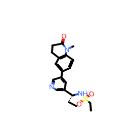 CC[C@@H](NS(=O)(=O)CC)c1cncc(-c2ccc3c(c2)CCC(=O)N3C)c1